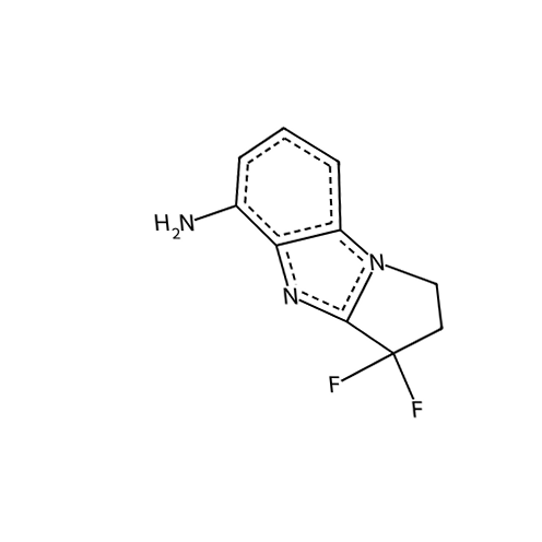 Nc1cccc2c1nc1n2CCC1(F)F